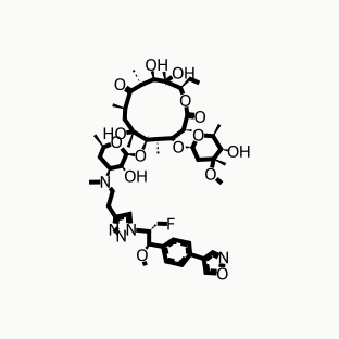 CC[C@H]1OC(=O)[C@H](C)[C@@H](O[C@H]2C[C@@](C)(OC)[C@@H](O)[C@H](C)O2)[C@H](C)[C@@H](O[C@@H]2O[C@H](C)C[C@H](N(C)CCc3cn([C@H](CF)[C@H](OC)c4ccc(-c5cnoc5)cc4)nn3)[C@H]2O)[C@](C)(O)C[C@@H](C)C(=O)[C@H](C)[C@@H](O)[C@]1(C)O